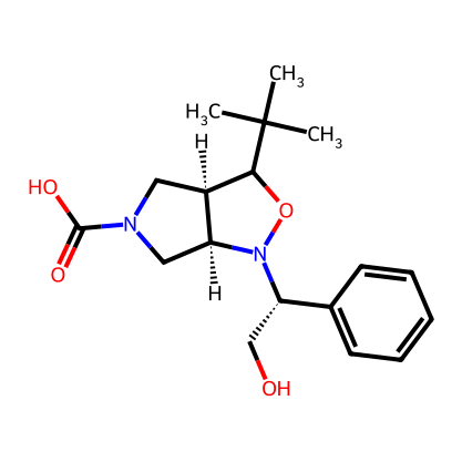 CC(C)(C)C1ON([C@@H](CO)c2ccccc2)[C@H]2CN(C(=O)O)C[C@@H]12